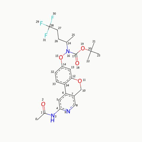 CC(=O)Nc1cc2c(cn1)COc1cc(ON(C(=O)OC(C)(C)C)C(C)CCC(F)(F)F)ccc1-2